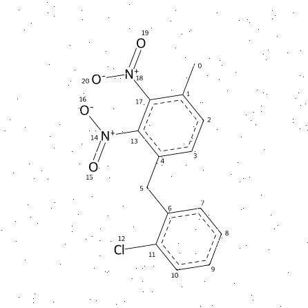 Cc1ccc(Cc2ccccc2Cl)c([N+](=O)[O-])c1[N+](=O)[O-]